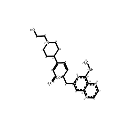 C=C/C=C(\C=C/C(C)Cc1cc2nccnc2c(NC)n1)C1CCN(CCO)CC1